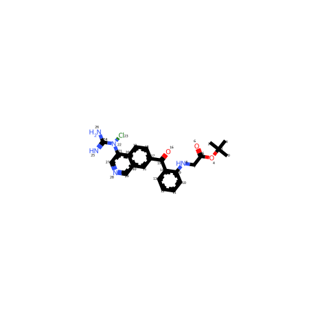 CC(C)(C)OC(=O)CNc1ccccc1C(=O)c1ccc2c(N(Cl)C(=N)N)cncc2c1